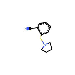 N#Cc1ccccc1SN1CCCC1